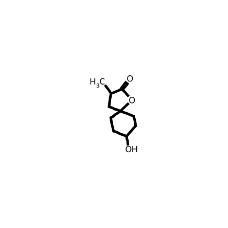 CC1CC2(CCC(O)CC2)OC1=O